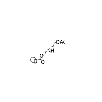 CC(=O)OCCCNCCOC(=O)C1CC2CCC1O2